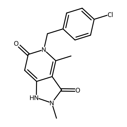 Cc1c2c(=O)n(C)[nH]c2cc(=O)n1Cc1ccc(Cl)cc1